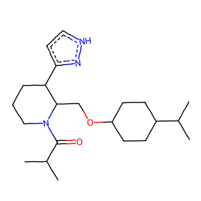 CC(C)C(=O)N1CCCC(c2cc[nH]n2)C1COC1CCC(C(C)C)CC1